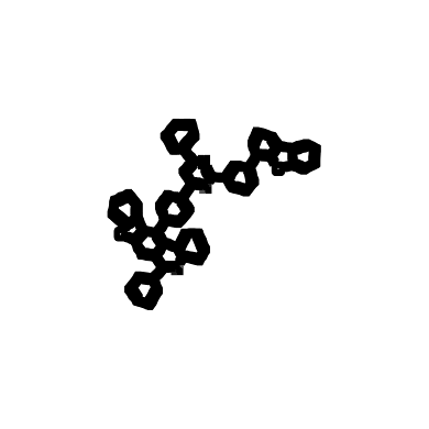 c1ccc(-c2cc(-c3ccc(-c4c5c(cc6c(-c7ccccc7)nc7ccccc7c46)oc4ccccc45)cc3)nc(-c3cccc(-c4cccc5c4oc4ccccc45)c3)n2)cc1